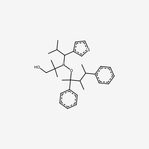 CC(C)C(c1ccsc1)N(OC(C)(c1ccccc1)C(C)C(C)c1ccccc1)C(C)(C)CO